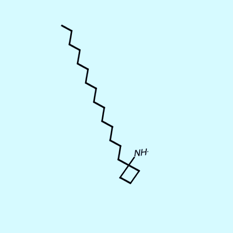 CCCCCCCCCCCCCCCC1([NH])CCC1